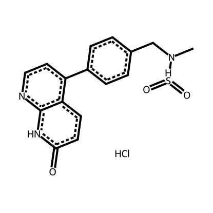 CN(Cc1ccc(-c2ccnc3[nH]c(=O)ccc23)cc1)[SH](=O)=O.Cl